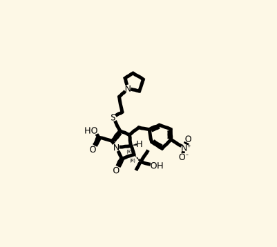 CC(C)(O)[C@@H]1C(=O)N2C(C(=O)O)=C(SCCN3CCCC3)C(Cc3ccc([N+](=O)[O-])cc3)[C@@H]12